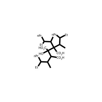 CCCC(CC)C(C)C(C(=O)O)C(O)(C(=O)O)C(C(=O)O)(C(C)C(CC)CCC)C(C)C(CC)CCC